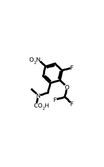 CN(Cc1cc([N+](=O)[O-])cc(F)c1OC(F)F)C(=O)O